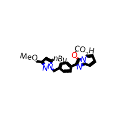 CCCCc1cc(COC)nn1Cc1ccc(-c2nc3ccccn3c2OC(=O)O)cc1